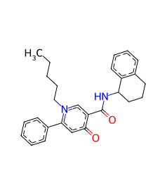 CCCCCn1cc(C(=O)NC2CCCc3ccccc32)c(=O)cc1-c1ccccc1